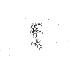 CCN1c2ccccc2C[C@H]1COc1ccc(C(=O)n2c(C)cc3c(OC(C)=O)cccc32)cc1